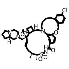 CO[C@@]1(CN2CCN3CCC[C@@H]3C2)/C=C/C[C@H](C)[C@@H](C)S(=O)(=O)NC(=O)c2ccc3c(c2)N(CCCCc2cc(Cl)ccc2CO3)C[C@@H]2CC[C@H]21